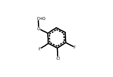 O=COc1ccc(F)c(Cl)c1F